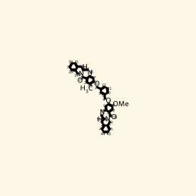 COc1cc2c(cc1OCc1cccc(COc3cc4c(cc3C)C(=O)N3Cc5ccccc5C[C@H]3C=N4)c1)N=C[C@@H]1Cc3ccccc3CN1C2=O